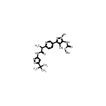 CC(C(=O)Nc1cc(C(C)(C)C(F)(F)F)on1)c1ccc(-c2nn(C(C)C)c(NC(=O)OC(C)(C)C)c2C#N)cn1